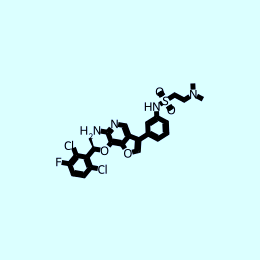 C[C@@H](Oc1c(N)ncc2c(-c3cccc(NS(=O)(=O)CCN(C)C)c3)coc12)c1c(Cl)ccc(F)c1Cl